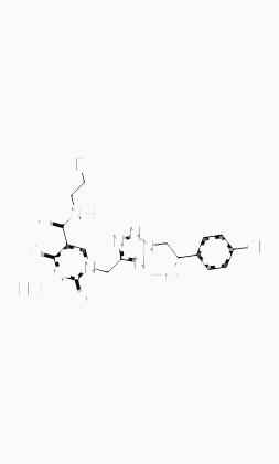 Cn1c(=O)c(C(=O)NCCF)cn(Cc2nnn(C[C@H](O)c3ccc(Cl)cc3)n2)c1=O